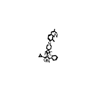 Cc1cnc2c(C)c(N3CCC4(C=C(c5c(-c6ccccc6C(F)(F)F)noc5C5CC5)C4)CC3)ccc2c1